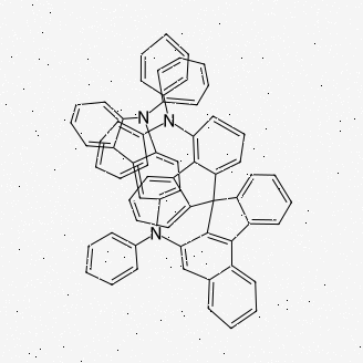 c1ccc(N(c2ccccc2)c2cccc3c2-c2ccccc2C32c3ccccc3-c3c2c(N(c2ccccc2)c2ccc4c(c2)c2ccccc2n4-c2ccccc2)cc2ccccc32)cc1